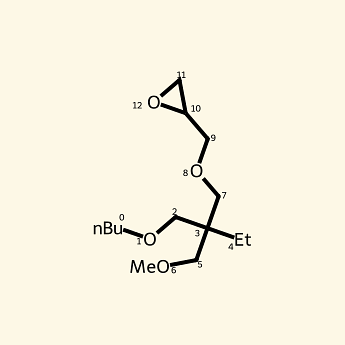 CCCCOCC(CC)(COC)COCC1CO1